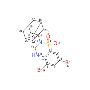 O=S1(=O)c2cc(Br)cc(Br)c2NCN1C12CC3CC(CC(C3)C1)C2